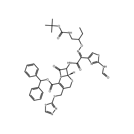 CCC(CNC(=O)OC(C)(C)C)ON=C(C(=O)NC1C(=O)N2C(C(=O)OC(c3ccccc3)c3ccccc3)=C(CSc3nncs3)CS[C@@H]12)c1csc(NC=O)n1